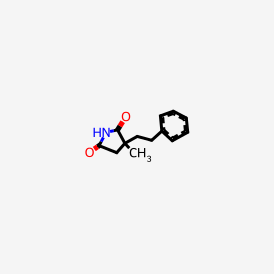 CC1(CCc2ccccc2)CC(=O)NC1=O